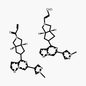 C=CC(=O)N1C[C@H]2CC(c3nc(-c4cnn(C)c4)cn4nccc34)C[C@H]2C1.Cn1cc(-c2cn3nccc3c(C3C[C@@H]4CN(C=CC=O)C[C@@H]4C3)n2)cn1